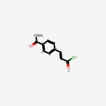 COC(=O)c1ccc(/C=C/C(=O)Cl)cc1